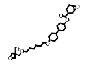 CCC1(COCCCCCCOC2CCC(C3CCC(OC(=O)C4CCC5OC5C4)CC3)CC2)COC1